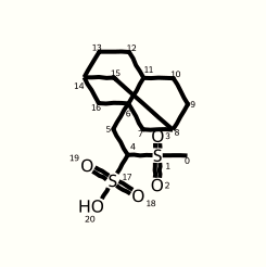 CS(=O)(=O)C(CC12CC3CCC1CCC(C3)C2)S(=O)(=O)O